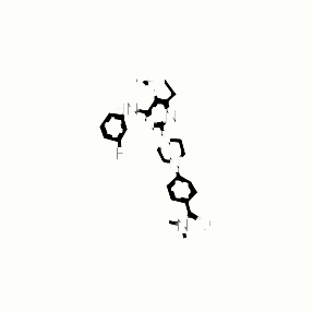 CN(C)C(=O)c1ccc(N2CCN(c3nc4c(c(Nc5cccc(F)c5)n3)[S+]([O-])CC4)CC2)cc1